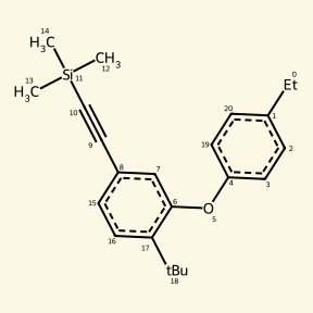 CCc1ccc(Oc2cc(C#C[Si](C)(C)C)ccc2C(C)(C)C)cc1